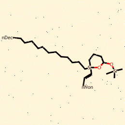 CCCCCCCCCC=C[Si]1(CCCCCCCCCCCCCCCCCCCCCC)CCCC(O[Si](C)(C)C)O1